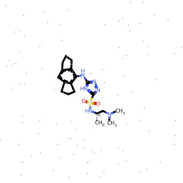 C[C@@H](CN(C)C)NS(=O)(=O)c1nnc(Nc2c3c(cc4c2CCC4)CCC3)[nH]1